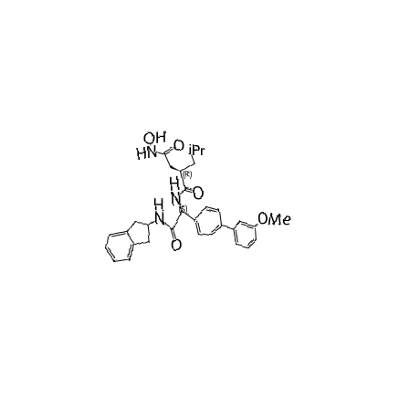 COc1cccc(-c2ccc([C@H](NC(=O)[C@@H](CC(=O)NO)CC(C)C)C(=O)NC3Cc4ccccc4C3)cc2)c1